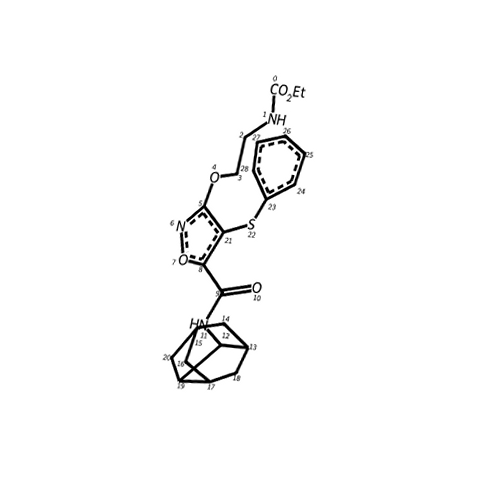 CCOC(=O)NCCOc1noc(C(=O)NC2C3CC4CC(C3)C2C4)c1Sc1ccccc1